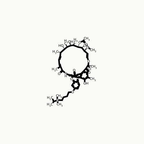 CO[C@H]1/C=C/O[C@@]2(C)Oc3c(C)c(O)c4c(=O)c(c5oc6cc(OCCCC[N+](C)(C)C(C)C)ccc6nc-5c4c3C2=O)NC(=O)/C(C)=C\C=C\[C@H](C)[C@H](O)[C@@H](C)[C@@H](O)[C@@H](C)[C@H](OC(C)=O)[C@@H]1C